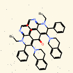 CCC(C)CN1c2ncccc2C(C(=O)C2=C(N3CCc4ccccc4C3)C(c3ccccc3)N(CC(C)CC)c3ncccc32)=C(N2CCc3ccccc3C2)C1c1ccccc1